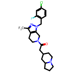 O=C(CC1CCN2CCCC2C1)N1CCc2c(C(F)(F)F)nn(Cc3ccc(Cl)cc3F)c2C1